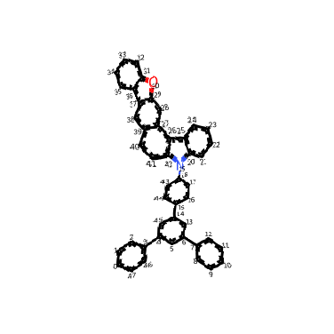 c1ccc(-c2cc(-c3ccccc3)cc(-c3ccc(-n4c5ccccc5c5c6cc7oc8ccccc8c7cc6ccc54)cc3)c2)cc1